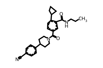 CCCNC(=O)c1cc(C(=O)N2CCC(c3ccc(C#N)cc3)CC2)ccc1C1CCC1